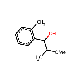 COC(C)C(O)c1ccccc1C